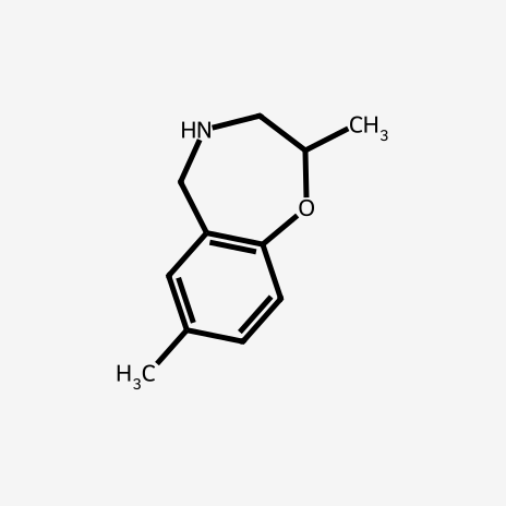 Cc1ccc2c(c1)CNCC(C)O2